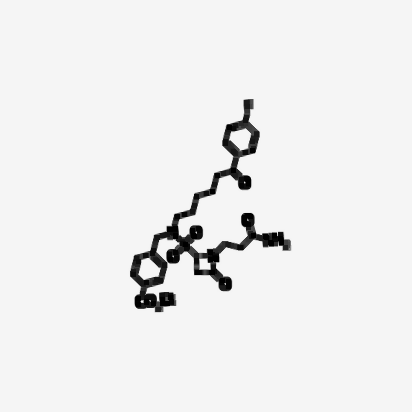 CCOC(=O)c1ccc(CN(CCCCCC(=O)c2ccc(F)cc2)S(=O)(=O)C2CC(=O)N2CCC(N)=O)cc1